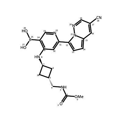 COC(=O)NC[C@H]1C[C@H](Nc2cc(-c3ccc4cc(C#N)cnn34)ncc2B(O)O)C1